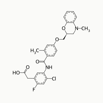 Cc1cc(OC[C@@H]2CN(C)c3ccccc3O2)ccc1C(=O)Nc1cc(CC(=O)O)c(F)cc1Cl